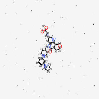 COC(=O)/C=C/c1cncc(N(CC2CCN(c3cccc(N4CCCC4)c3)CC2)C(=O)C2CCOCC2)c1